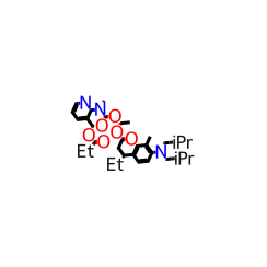 CCC(=O)OCc1cccnc1N(C)C(=O)OC(C)OC(=O)C[C@H](CC)c1ccc(N(CC(C)C)CC(C)C)c(C)c1